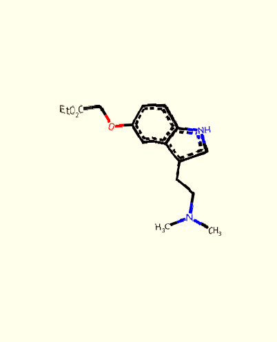 CCOC(=O)COc1ccc2[nH]cc(CCN(C)C)c2c1